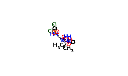 CC(C)C[C@H](CN(CCCCNS(=O)(=O)c1ccc(Cl)cc1Cl)C(=O)O)NC(=O)Nc1ccccc1